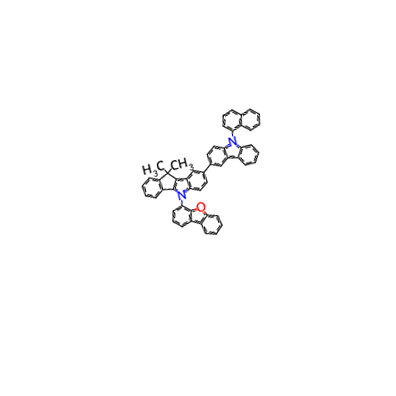 CC1(C)c2ccccc2-c2c1c1cc(-c3ccc4c(c3)c3ccccc3n4-c3cccc4ccccc34)ccc1n2-c1cccc2c1oc1ccccc12